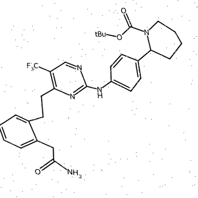 CC(C)(C)OC(=O)N1CCCCC1c1ccc(Nc2ncc(C(F)(F)F)c(CCc3ccccc3CC(N)=O)n2)cc1